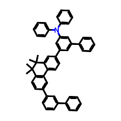 CC1(C)c2ccc(-c3cccc(-c4ccccc4)c3)cc2-c2ccc(-c3cc(-c4ccccc4)cc(N(c4ccccc4)c4ccccc4)c3)cc2C1(C)C